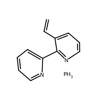 C=Cc1cccnc1-c1ccccn1.P